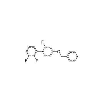 Fc1cc(OCc2ccccc2)ccc1-c1cccc(F)c1F